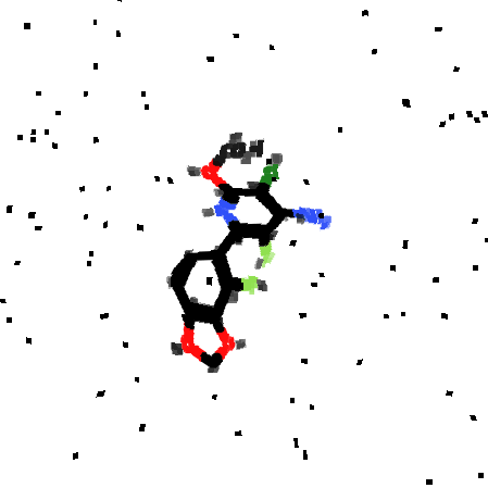 Nc1c(F)c(-c2ccc3c(c2F)OCO3)nc(OC(=O)O)c1Cl